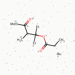 CC[C@H](C)C(C)C(=O)OC(CC)(CC)C(C)C(=O)OC